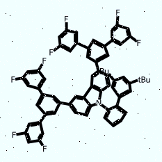 CC(C)(C)c1cc(-c2ccccc2-n2c3ccc(-c4cc(-c5cc(F)cc(F)c5)cc(-c5cc(F)cc(F)c5)c4)cc3c3cc(-c4cc(-c5cc(F)cc(F)c5)cc(-c5cc(F)cc(F)c5)c4)ccc32)cc(C(C)(C)C)c1